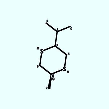 CC(C)C1CS[C@@H](C)CS1